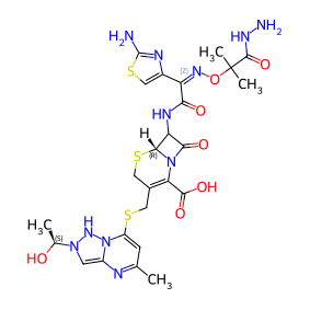 CC1=NC2=CN([C@H](C)O)NN2C(SCC2=C(C(=O)O)N3C(=O)C(NC(=O)/C(=N\OC(C)(C)C(=O)NN)c4csc(N)n4)[C@H]3SC2)=C1